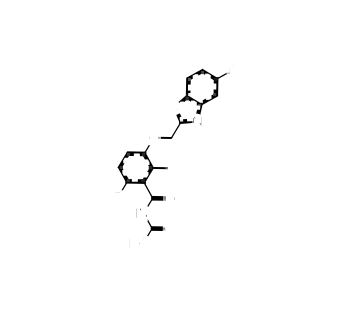 CC(=O)NC(=O)c1c(F)ccc(OCc2nc3cc(Cl)ccc3s2)c1F